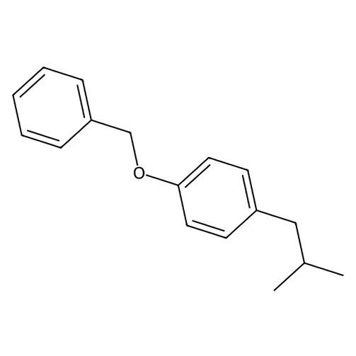 CC(C)Cc1ccc(OCc2ccccc2)cc1